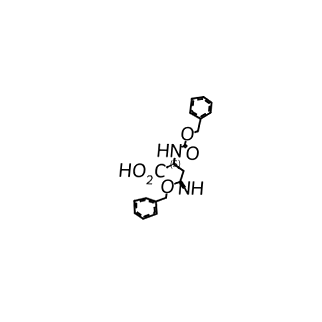 N=C(C[C@H](NC(=O)OCc1ccccc1)C(=O)O)OCc1ccccc1